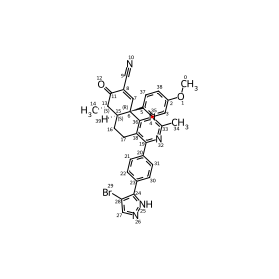 COc1ccc([C@]23C=C(C#N)C(=O)[C@@H](C)[C@@H]2CCc2c(-c4ccc(-c5[nH]ncc5Br)cc4)nc(C)nc23)cc1